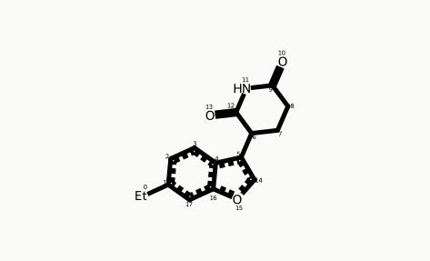 CCc1ccc2c(C3CCC(=O)NC3=O)coc2c1